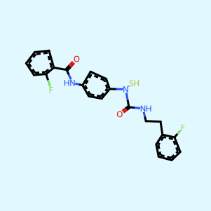 O=C(Nc1ccc(N(S)C(=O)NCCc2ccccc2F)cc1)c1ccccc1F